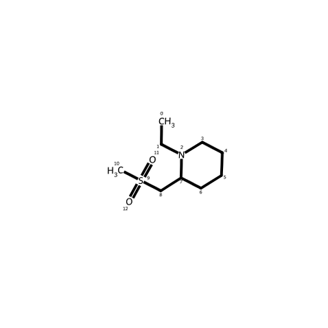 CCN1CCCCC1CS(C)(=O)=O